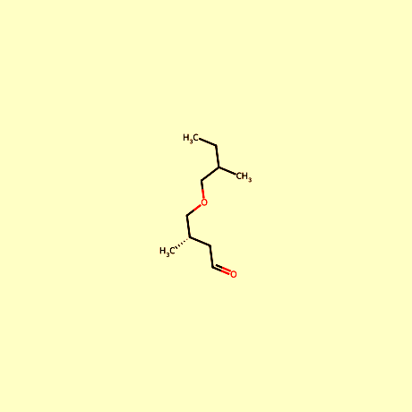 CCC(C)COC[C@@H](C)CC=O